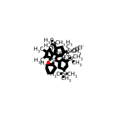 CC1=C(C)C(C)([Si](c2ccccc2)(c2cc([Si](C)(C)C)cc([Si](C)(C)C)c2)c2cc([Si](C)(C)C)cc([Si](C)(C)C)c2)[C]([Ti+3])=C1C.[Cl-].[Cl-].[Cl-]